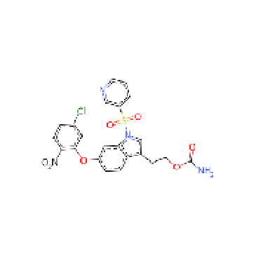 NC(=O)OCCc1cn(S(=O)(=O)c2cccnc2)c2cc(Oc3cc(Cl)ccc3[N+](=O)[O-])ccc12